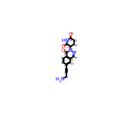 NCC#Cc1ccc2c(=O)n(C3CCC(=O)NC3=O)ncc2c1